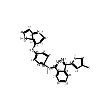 Cc1csc(-c2nnc(Nc3ccc(Sc4ccnc5cc[nH]c45)cc3)c3ccccc23)c1